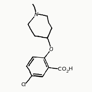 CN1CCC(Oc2ccc(Cl)cc2C(=O)O)CC1